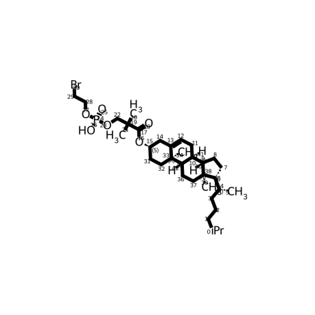 CC(C)CCC[C@@H](C)[C@H]1CC[C@H]2[C@@H]3CC=C4C[C@@H](OC(=O)C(C)(C)COP(=O)(O)OCCBr)CC[C@]4(C)[C@H]3CC[C@]12C